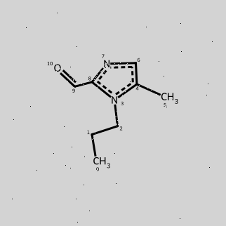 CCCn1c(C)cnc1C=O